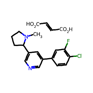 CN1CCCC1c1cncc(-c2ccc(Cl)c(F)c2)c1.O=C(O)/C=C/C(=O)O